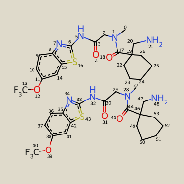 CN(CC(=O)Nc1nc2ccc(OC(F)(F)F)cc2s1)C(=O)C1(CN)CCCCC1.CN(CC(=O)Nc1nc2ccc(OC(F)(F)F)cc2s1)C(=O)C1(CN)CCCCC1